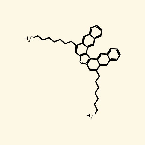 CCCCCCCCc1cc2sc3cc(CCCCCCCC)c4cc5ccccc5cc4c3c2c2cc3ccccc3cc12